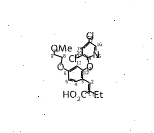 CCC(=Cc1ccc(OCCOC)cc1Oc1ncc(Cl)cc1Cl)C(=O)O